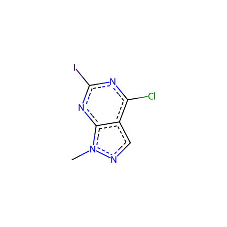 Cn1ncc2c(Cl)nc(I)nc21